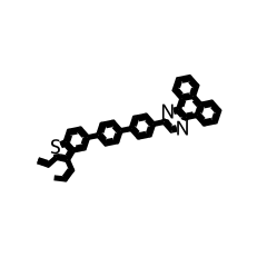 C=Cc1sc2ccc(-c3ccc(-c4ccc(-c5cnc6c7ccccc7c7ccccc7c6n5)cc4)cc3)cc2c1/C=C\C